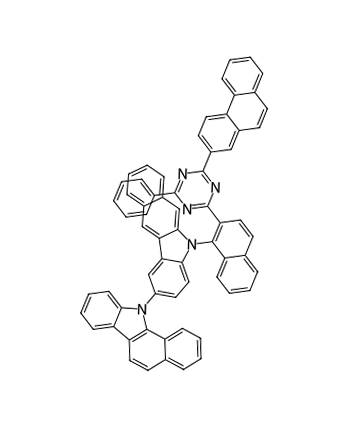 c1ccc(-c2nc(-c3ccc4c(ccc5ccccc54)c3)nc(-c3ccc4ccccc4c3-n3c4ccc(-n5c6ccccc6c6ccc7ccccc7c65)cc4c4cc5ccccc5cc43)n2)cc1